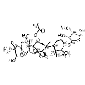 CC(=O)O[C@@H]1C[C@@]23C[C@@]24CC[C@H](O[C@@H]2OC[C@@H](O)[C@@H](O)C2O)C(C)(C)[C@@H]4CC=C3[C@]2(C)CC3OC4(C[C@@H](C)[C@@H]3[C@@]12C)OC(O)C1(C)OC41